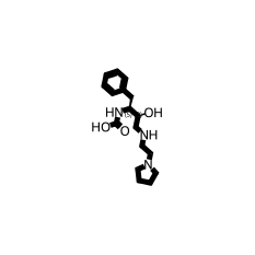 O=C(O)N[C@@H](Cc1ccccc1)[C@H](O)CNCCN1CCCC1